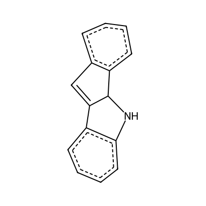 C1=C2c3ccccc3NC2c2ccccc21